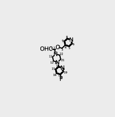 O=CC(OCc1ccncc1)N1CCN(c2ccc(F)cn2)CC1